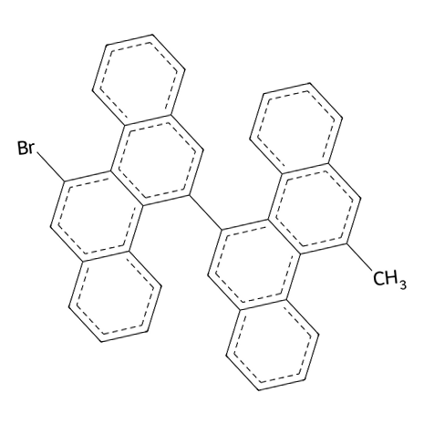 Cc1cc2ccccc2c2c(-c3cc4ccccc4c4c(Br)cc5ccccc5c34)cc3ccccc3c12